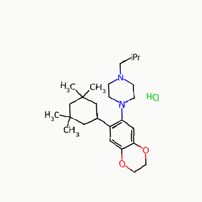 CC(C)CN1CCN(c2cc3c(cc2C2CC(C)(C)CC(C)(C)C2)OCCO3)CC1.Cl